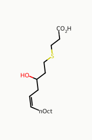 CCCCCCCC/C=C\CC(O)CCSCCC(=O)O